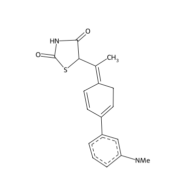 CNc1cccc(C2=CCC(=C(C)C3SC(=O)NC3=O)C=C2)c1